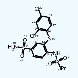 CC(C)S(=O)(=O)Nc1ccc(S(N)(=O)=O)cc1Sc1ccc(Cl)cc1Cl